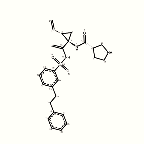 C=C[C@@H]1C[C@]1(NC(=O)[C@H]1CCNC1)C(=C)NS(=O)(=O)c1cccc(CCc2ccccc2)c1